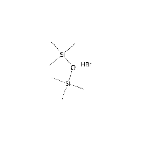 Br.C[Si](C)(C)O[Si](C)(C)C